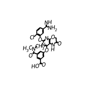 CN(C)C(=O)c1cc(Oc2nc(Oc3cc(C(=N)N)ccc3Cl)nc3c2NC(=O)CO3)cc(C(=O)O)c1